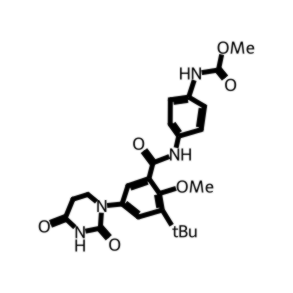 COC(=O)Nc1ccc(NC(=O)c2cc(N3CCC(=O)NC3=O)cc(C(C)(C)C)c2OC)cc1